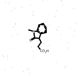 CN1C(=S)C(CCC(=O)O)c2ccccc21